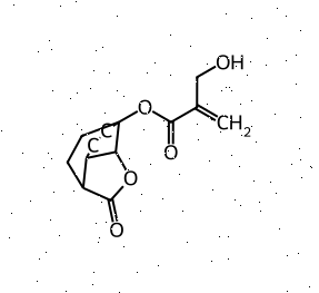 C=C(CO)C(=O)OC12CCC3C(=O)OC1C3CC2